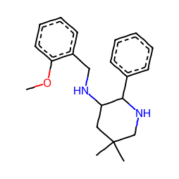 COc1ccccc1CNC1CC(C)(C)CNC1c1ccccc1